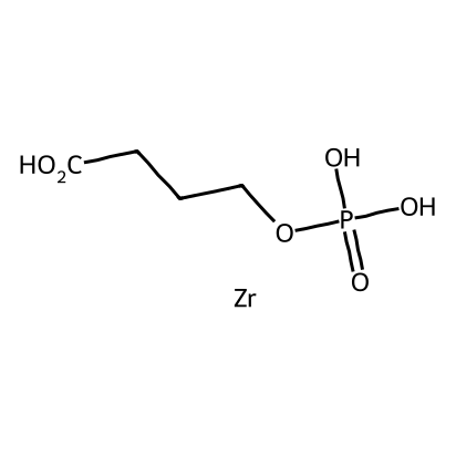 O=C(O)CCCOP(=O)(O)O.[Zr]